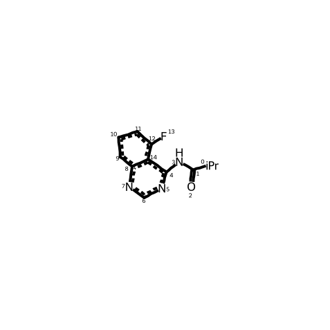 CC(C)C(=O)Nc1ncnc2cccc(F)c12